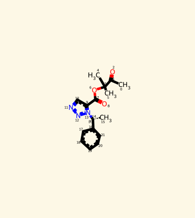 CC(=O)C(C)(C)OC(=O)c1cnnn1[C@H](C)c1ccccc1